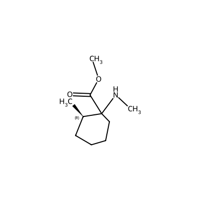 CNC1(C(=O)OC)CCCC[C@H]1C